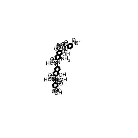 Nc1c(N=Nc2ccc3c(O)c(N=Nc4ccc(S(=O)(=O)O)cc4S(=O)(=O)O)c(S(=O)(=O)O)cc3c2)c(S(=O)(=O)O)cc2cc(S(=O)(=O)O)c(N=Nc3ccc([N+](=O)[O-])cc3S(=O)(=O)O)c(O)c12